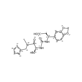 CCCC[C@H](NC(=O)N[C@@H](CC(=O)O)c1ccc2c(c1)OCO2)C(=O)N(C)Cc1nccs1